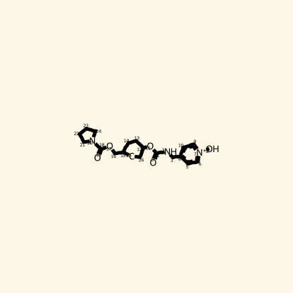 O=C(NCc1cc[n+](O)cc1)OC1CCC(COC(=O)N2CCCC2)CC1